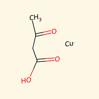 CC(=O)CC(=O)O.[Cu]